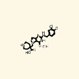 Cl.O=C(O)C1(Cn2ncc3nc(NCc4ccc(Cl)c(Cl)c4)[nH]c(=O)c32)CCNCC1